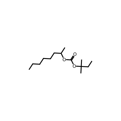 CCCCCCC(C)OC(=O)OC(C)(C)CC